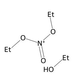 CCO.CCO[N+](=O)OCC